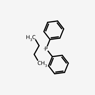 CCCC.c1ccc([P]c2ccccc2)cc1